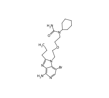 CCCc1nc2c(N)ncc(Br)c2n1CCOCCN(C(N)=O)C1CCCCC1